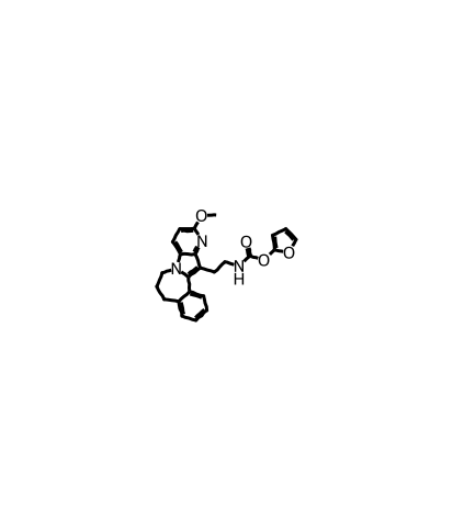 COc1ccc2c(n1)c(CCNC(=O)Oc1ccco1)c1n2CCCc2ccccc2-1